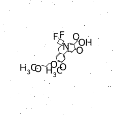 COCCCOc1cc2c(cc1OC)-c1cc(=O)c(C(=O)O)cn1C1(C2)CC(F)(F)C1